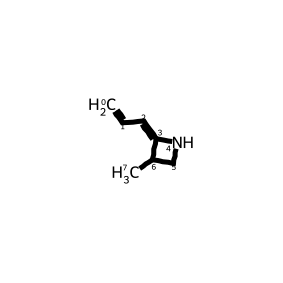 C=C/C=C1/NCC1C